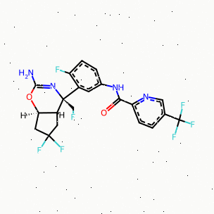 NC1=N[C@](CF)(c2cc(NC(=O)c3ccc(C(F)(F)F)cn3)ccc2F)[C@H]2CC(F)(F)C[C@H]2O1